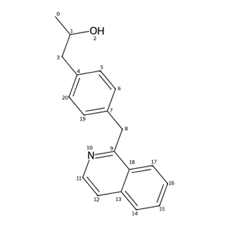 CC(O)Cc1ccc(Cc2nccc3ccccc23)cc1